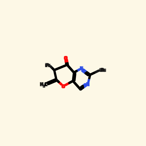 C=C1Oc2cnc(C(C)(C)C)nc2C(=O)C1C(C)C